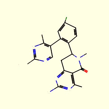 CCN1C(=O)c2c(C)nc(N)nc2CC1c1ccc(F)cc1-c1cnc(OC)nc1OC